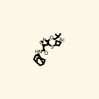 CC(=O)C(C)(C)COc1noc(C(=O)NC2C3CC4CC(C3)CC2C4)c1SC1CCC1